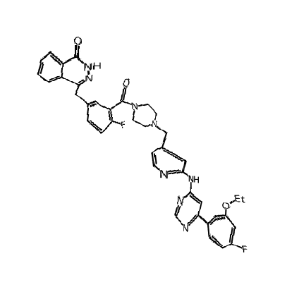 CCOc1cc(F)ccc1-c1cc(Nc2cc(CN3CCN(C(=O)c4cc(Cc5n[nH]c(=O)c6ccccc56)ccc4F)CC3)ccn2)ncn1